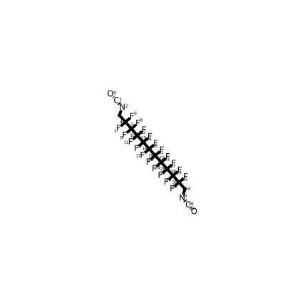 O=C=NCC(F)(F)C(F)(F)C(F)(F)C(F)(F)C(F)(F)C(F)(F)C(F)(F)C(F)(F)C(F)(F)C(F)(F)CN=C=O